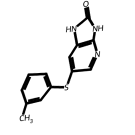 Cc1cccc(Sc2cnc3[nH]c(=O)[nH]c3c2)c1